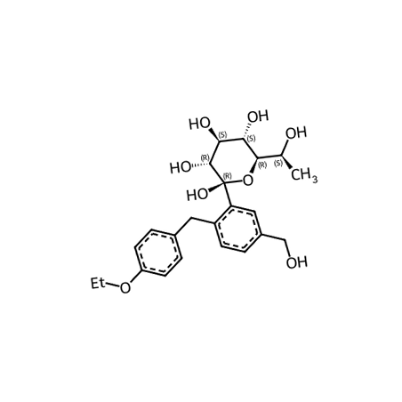 CCOc1ccc(Cc2ccc(CO)cc2[C@@]2(O)O[C@H]([C@H](C)O)[C@@H](O)[C@H](O)[C@H]2O)cc1